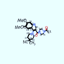 CCC(=O)N1CCN(C(=O)c2cnc3cc(OC)c(OC)cc3c2N2CCC(C)(C#N)CC2)CC1